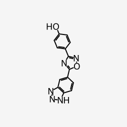 Oc1ccc(-c2noc(-c3ccc4[nH]nnc4c3)n2)cc1